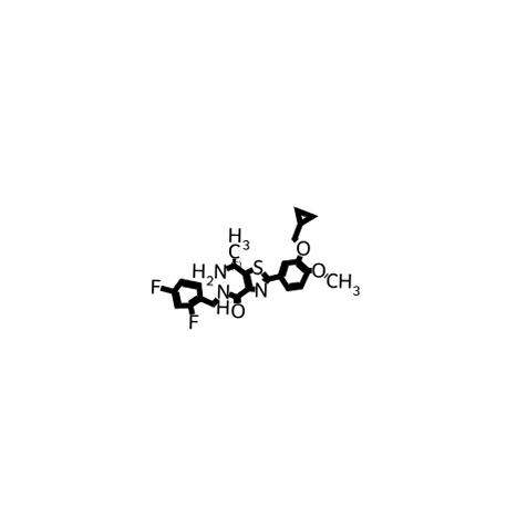 COc1ccc(-c2nc(C(=O)NCc3ccc(F)cc3F)c([C@H](C)N)s2)cc1OCC1CC1